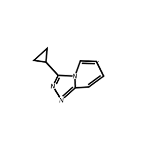 [c]1ccc2nnc(C3CC3)n2c1